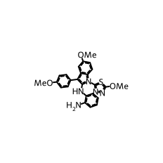 COc1ccc(-c2c(Nc3ccccc3N)n(-c3nnc(OC)s3)c3ccc(OC)cc23)cc1